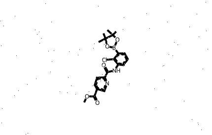 COC(=O)c1ccc(C(=O)Nc2cccc(B3OC(C)(C)C(C)(C)O3)c2Cl)nc1